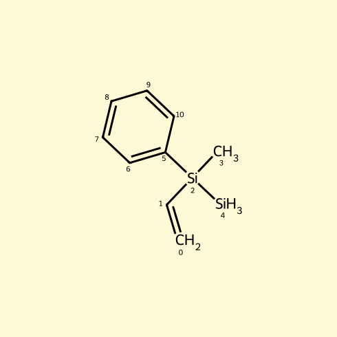 C=C[Si](C)([SiH3])c1ccccc1